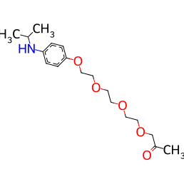 CC(=O)COCCOCCOCCOc1ccc(NC(C)C)cc1